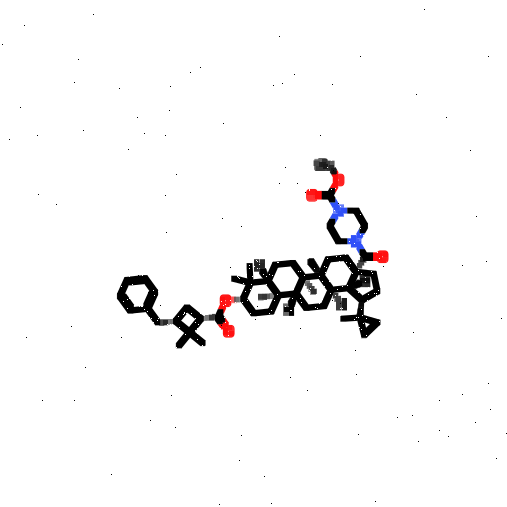 CC(C)(C)OC(=O)N1CCN(C(=O)[C@]23CC[C@@H](C4(C)CC4)[C@@H]2[C@H]2CC[C@@H]4[C@@]5(C)CC[C@H](OC(=O)[C@H]6C[C@@H](Cc7ccccc7)C6(C)C)C(C)(C)[C@@H]5CC[C@@]4(C)[C@]2(C)CC3)CC1